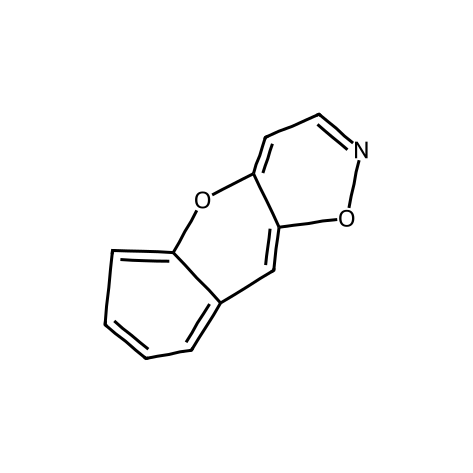 C1=NOC2=Cc3ccccc3OC2=C1